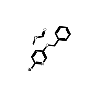 Brc1ccc(OCc2ccccc2)cn1.COC=O